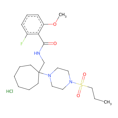 CCCS(=O)(=O)N1CCN(C2(CNC(=O)c3c(F)cccc3OC)CCCCCC2)CC1.Cl